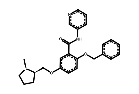 CN1CCC[C@@H]1COc1ccc(OCc2ccccc2)c(C(=O)Nc2cccnc2)c1